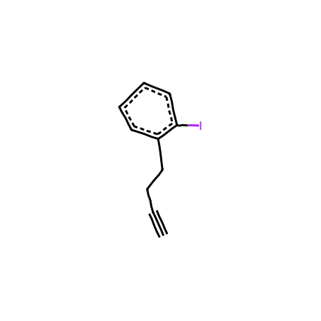 C#CCCc1ccccc1I